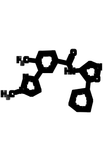 Cn1ccc(-c2cc(C(=O)Nc3cnoc3-c3ccccc3)ccc2C(F)(F)F)n1